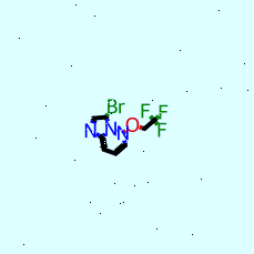 FC(F)(F)CON1C=CC=C2N=CC(Br)N21